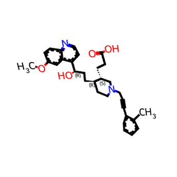 COc1ccc2nccc([C@H](O)CC[C@@H]3CCN(CC#Cc4ccccc4C)C[C@H]3CCC(=O)O)c2c1